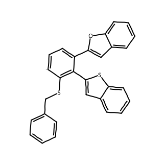 [c]1ccc(-c2cc3ccccc3o2)c(-c2cc3ccccc3s2)c1SCc1ccccc1